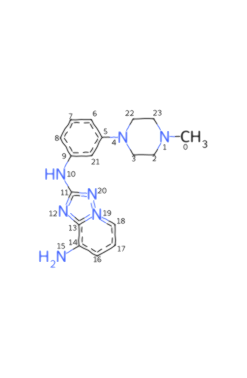 CN1CCN(c2cccc(Nc3nc4c(N)cccn4n3)c2)CC1